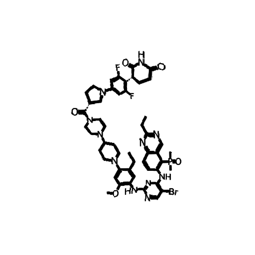 CCc1ncc2c(P(C)(C)=O)c(Nc3nc(Nc4cc(CC)c(N5CCC(N6CCN(C(=O)[C@@H]7CCN(c8cc(F)c([C@H]9CCC(=O)NC9=O)c(F)c8)C7)CC6)CC5)cc4OC)ncc3Br)ccc2n1